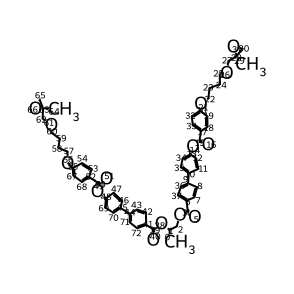 CC(COC(=O)c1ccc(-c2ccc(OC(=O)c3ccc(OCCCCOCC4(C)CO4)cc3)cc2)cc1)OC(=O)c1ccc(-c2ccc(OC(=O)c3ccc(OCCCCOCC4(C)CO4)cc3)cc2)cc1